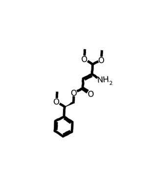 COC(OC)C(N)=CC(=O)OC[C@H](OC)c1ccccc1